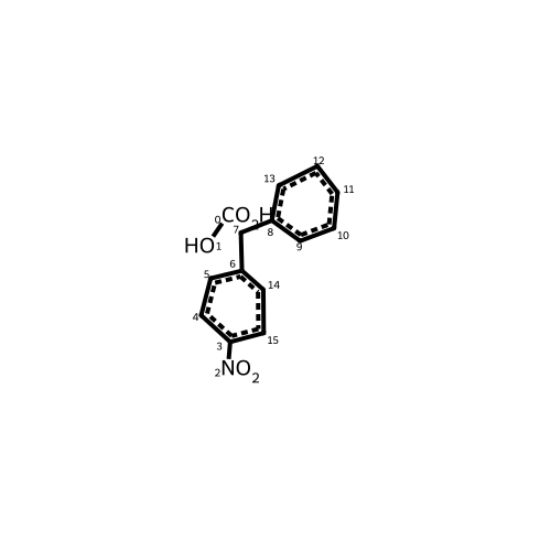 O=C(O)O.O=[N+]([O-])c1ccc(Cc2ccccc2)cc1